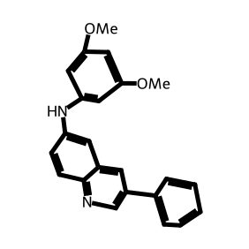 COc1cc(Nc2ccc3ncc(-c4ccccc4)cc3c2)cc(OC)c1